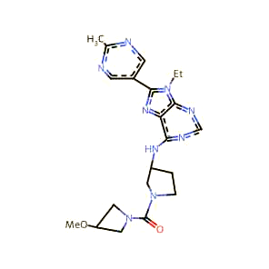 CCn1c(-c2cnc(C)nc2)nc2c(NC3CCN(C(=O)N4CC(OC)C4)C3)ncnc21